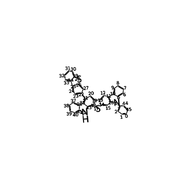 c1ccc(-n2c3ccccc3c3cc4c(cc32)sc2c4cc(-c3ccc4c(c3)sc3ccccc34)c3c4ccccc4[nH]c23)cc1